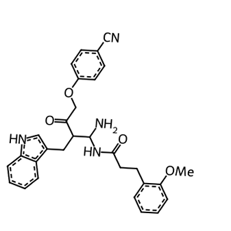 COc1ccccc1CCC(=O)NC(N)C(Cc1c[nH]c2ccccc12)C(=O)COc1ccc(C#N)cc1